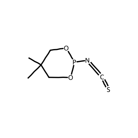 CC1(C)COP(N=C=S)OC1